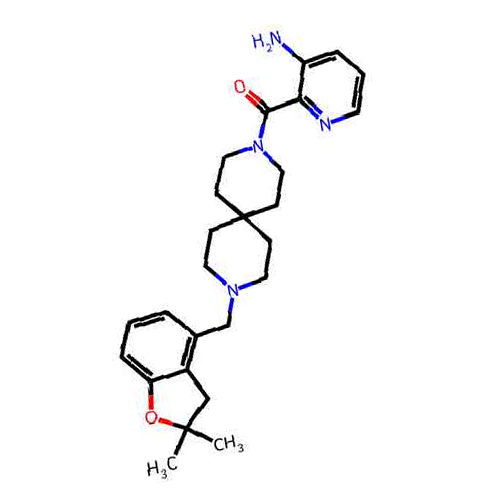 CC1(C)Cc2c(CN3CCC4(CC3)CCN(C(=O)c3ncccc3N)CC4)cccc2O1